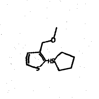 COCc1ccsc1[SiH]1CCCC1